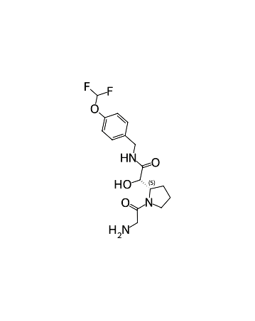 NCC(=O)N1CCC[C@H]1C(O)C(=O)NCc1ccc(OC(F)F)cc1